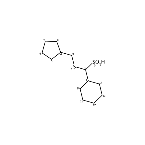 O=S(=O)(O)C(SCC1CCCC1)C1CCCCC1